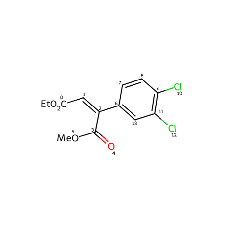 CCOC(=O)/C=C(\C(=O)OC)c1ccc(Cl)c(Cl)c1